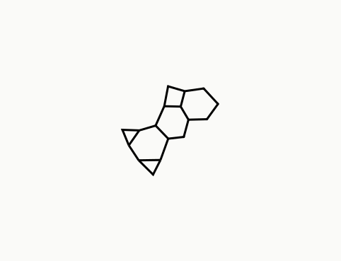 C1CC2CC3C4CC4C4CC4C3C3CC(C1)C23